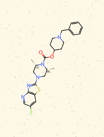 C[C@@H]1CN(c2nc3ncc(F)cc3s2)C[C@H](C)N1C(=O)OC1CCN(Cc2ccccc2)CC1